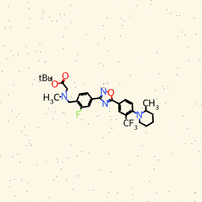 CC1CCCCN1c1ccc(-c2nc(-c3ccc(CN(C)CC(=O)OC(C)(C)C)c(F)c3)no2)cc1C(F)(F)F